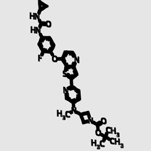 CN(c1ccc(-c2cc3nccc(Oc4ccc(NC(=O)NC5CC5)cc4F)c3s2)nc1)C1CN(C(=O)OC(C)(C)C)C1